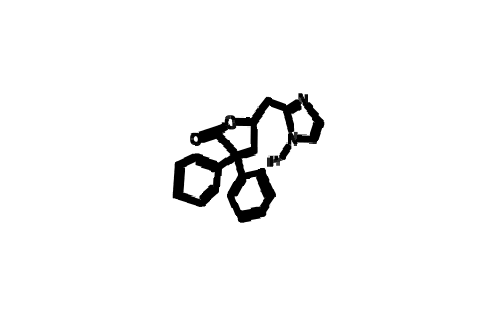 CC(C)n1ccnc1CC1CC(c2ccccc2)(c2ccccc2)C(=O)O1